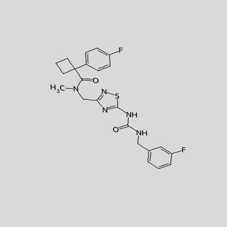 CN(Cc1nsc(NC(=O)NCc2cccc(F)c2)n1)C(=O)C1(c2ccc(F)cc2)CCC1